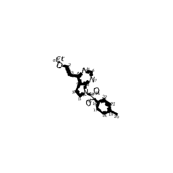 CCOC=Cc1ncnc2c1ccn2S(=O)(=O)c1ccc(C)cc1